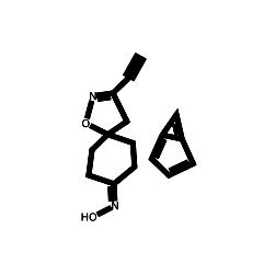 C#CC1=NOC2(CCC(=NO)CC2)C1.c1cc2cc-2c1